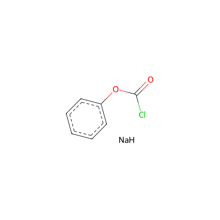 O=C(Cl)Oc1ccccc1.[NaH]